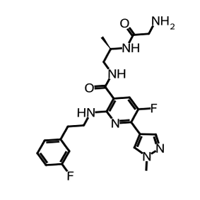 C[C@H](CNC(=O)c1cc(F)c(-c2cnn(C)c2)nc1NCCc1cccc(F)c1)NC(=O)CN